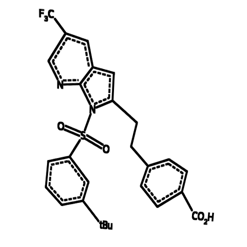 CC(C)(C)c1cccc(S(=O)(=O)n2c(CCc3ccc(C(=O)O)cc3)cc3cc(C(F)(F)F)cnc32)c1